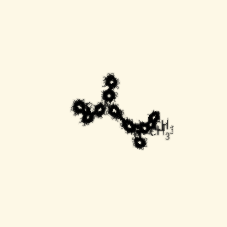 CC1(C)c2ccccc2-c2cc3c4cc(-c5ccc(N(c6ccc(-c7ccccc7)cc6)c6ccc(-c7cccc8c7sc7ccccc78)cc6)cc5)ccc4n(-c4ccccc4)c3cc21